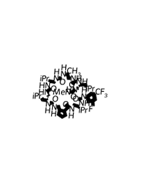 CNC(=O)NC[C@@H](CC(C)C)NC(=O)NC[C@@H](C)NC(=O)NC[C@H](NC(=O)NC[C@@H](CC(C)C)NC(=O)NCC1CCCC1C(=O)NC[C@@H](NC(=O)Nc1cc(CF)cc(C(F)(F)F)c1)C(C)C)C(C)C